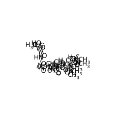 CCC(CO)OC(COC(=O)NCCC(=O)N1CCC[C@H]1C(=O)OCC(C)NC(=O)[C@H](Cc1ccccc1)NC(=O)[C@H](C)[C@@H](OC)[C@@H]1CCCN1C(=O)C[C@@H](OC)[C@H]([C@@H](C)CC)N(C)C(=O)[C@@H](NC(=O)[C@H](C(C)C)N(C)C)C(C)C)OC